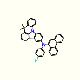 CC1(C)C2=C3C(CC=C2)c2cc(N(c4ccc(F)cc4)c4cc5ccccc5c5ccccc45)ccc2N3c2ccccc21